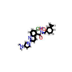 CN(C)[C@H]1CCN(c2ccc3c(C(=O)NCC4(O)CCCC5(CC5)C4)c(Cl)ccc3n2)C1